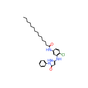 CCCCCCCCCCCCCC(=O)Nc1ccc(Cl)c(Nc2cc(=O)n(-c3ccccc3)[nH]2)c1